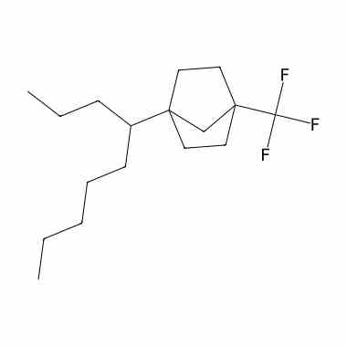 CCCCCC(CCC)C12CCC(C(F)(F)F)(CC1)C2